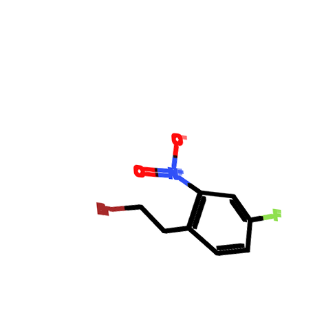 O=[N+]([O-])c1cc(F)ccc1CCBr